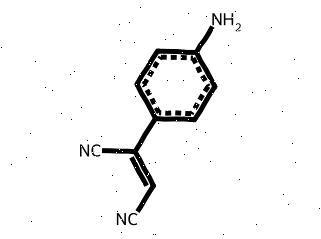 N#CC=C(C#N)c1ccc(N)cc1